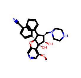 COc1cncc2c1[C@]1(O)[C@H](O)[C@H](CN3CCNCC3)C(c3ccccc3)[C@]1(c1ccc(C#N)cc1)O2